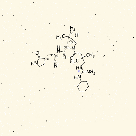 CC(C)(C/[SH]=C(\N)NC1CCCCC1)CC(=O)N1C[C@H]2C([C@H]1C(=O)N[C@H](C#N)C[C@@H]1CCNC1=O)C2(C)C